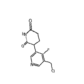 O=C1CCC(c2cncc(CCl)c2F)C(=O)N1